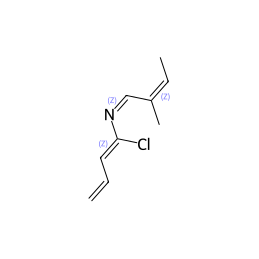 C=C/C=C(Cl)/N=C\C(C)=C/C